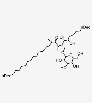 CCCCCCCCCCCCCCCCCCCCCCCC(C)C(=O)N[C@@H](COC1OC(CO)C(O)C(O)C1O)[C@H](O)[C@H](O)CCCCCCCCCCCCCC